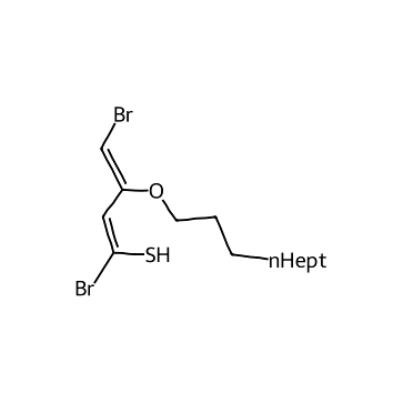 CCCCCCCCCCOC(=C\Br)/C=C(\S)Br